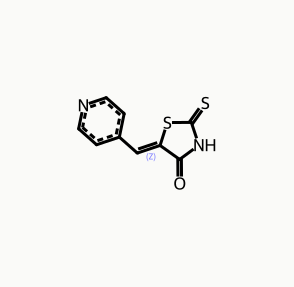 O=C1NC(=S)S/C1=C\c1ccncc1